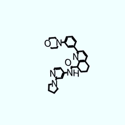 O=C(Nc1ccnc(N2CCCC2)c1)C1CCCc2ccc(-c3cccc(N4CCOCC4)c3)nc21